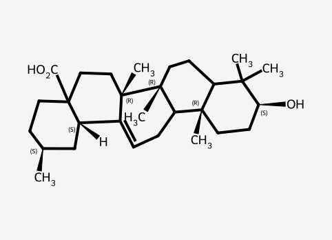 C[C@H]1CCC2(C(=O)O)CC[C@@]3(C)C(=CCC4[C@@]5(C)CC[C@H](O)C(C)(C)C5CC[C@]43C)[C@@H]2C1